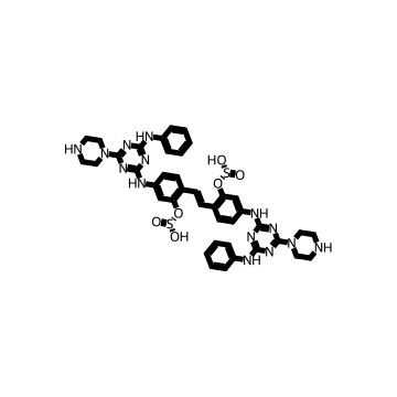 O=S(O)Oc1cc(Nc2nc(Nc3ccccc3)nc(N3CCNCC3)n2)ccc1/C=C/c1ccc(Nc2nc(Nc3ccccc3)nc(N3CCNCC3)n2)cc1OS(=O)O